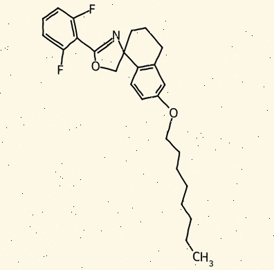 CCCCCCCCOc1ccc2c(c1)CCCC21COC(c2c(F)cccc2F)=N1